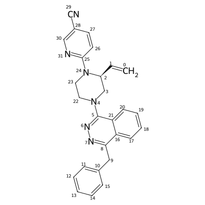 C=C[C@H]1CN(c2nnc(Cc3ccccc3)c3ccccc23)CCN1c1ccc(C#N)cn1